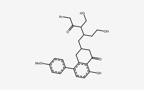 COc1ccc(-c2ccc(O)c3c2CC(CC(CCO)C(CO)C(=O)CC(C)=O)CC3=O)cc1